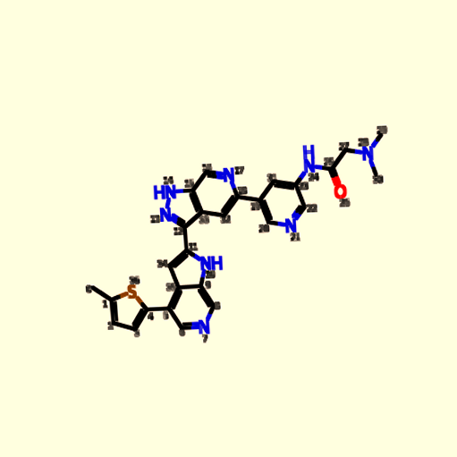 Cc1ccc(-c2cncc3[nH]c(-c4n[nH]c5cnc(-c6cncc(NC(=O)CN(C)C)c6)cc45)cc23)s1